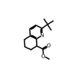 COC(=O)C1CCCc2ccc(C(C)(C)C)nc21